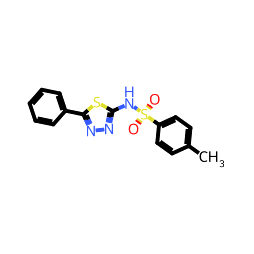 Cc1ccc(S(=O)(=O)Nc2nnc(-c3ccccc3)s2)cc1